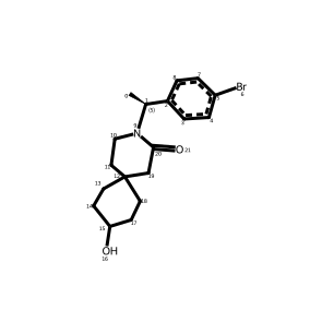 C[C@@H](c1ccc(Br)cc1)N1CCC2(CCC(O)CC2)CC1=O